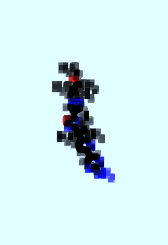 C=C(OCC)C(C)(C)Cn1cc(-c2nc(C(C)(c3ccc(-c4cnc(N)nc4)nc3)C(C)C)no2)cn1